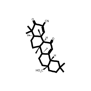 CC1(C)CC[C@]2(C(=O)O)CC[C@]3(C)C(=CC(=O)[C@@H]4[C@@]5(C)C=C(C#N)C(=O)C(C)(C)[C@@H]5CC[C@]43C)[C@@H]2C1